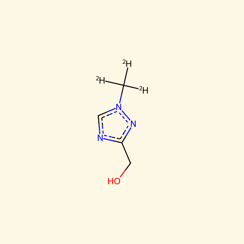 [2H]C([2H])([2H])n1cnc(CO)n1